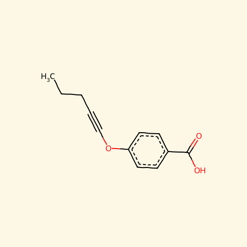 CCCC#COc1ccc(C(=O)O)cc1